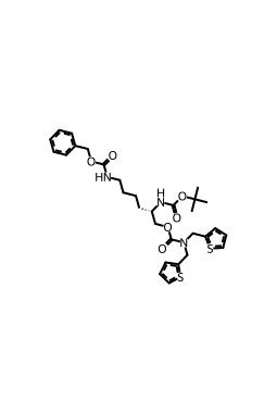 CC(C)(C)OC(=O)N[C@@H](CCCCNC(=O)OCc1ccccc1)COC(=O)N(Cc1cccs1)Cc1cccs1